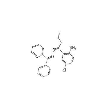 Nc1ccc(Cl)cc1C(=O)CCI.O=C(c1ccccc1)c1ccccc1